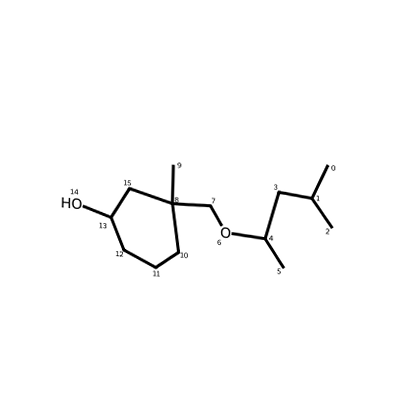 CC(C)CC(C)OCC1(C)CCCC(O)C1